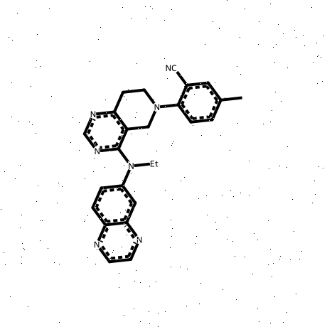 CCN(c1ccc2nccnc2c1)c1ncnc2c1CN(c1ccc(C)cc1C#N)CC2